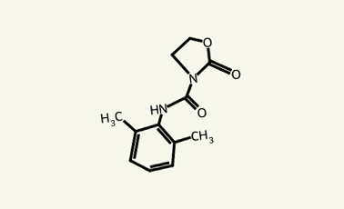 Cc1cccc(C)c1NC(=O)N1CCOC1=O